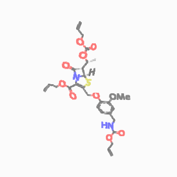 C=CCOC(=O)NCc1ccc(OCC2=C(C(=O)OCC=C)N3C(=O)[C@H]([C@@H](C)OC(=O)OCC=C)[C@H]3S2)c(OC)c1